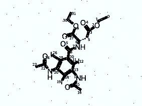 CCOC(=O)C[C@H](NC(=O)c1c(I)c(NC(C)=O)c(I)c(NC(C)=O)c1I)C(=O)OCC